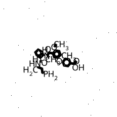 C=C(CCP)NC(=O)[C@H]1[C@@H]2CC[C@@H](C2)[C@H]1N(C)C(=O)c1cc(OC2CCC(C(=O)O)CC2)c(C)cc1OC